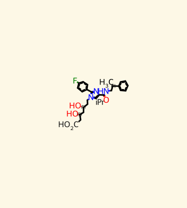 CC(C)c1c(C(=O)NC[C@H](C)c2ccccc2)nc(-c2ccc(F)cc2)n1CC[C@@H](O)C[C@@H](O)CC(=O)O